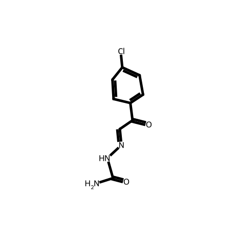 NC(=O)N/N=C/C(=O)c1ccc(Cl)cc1